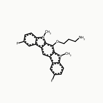 Cn1c2ccc(F)cc2c2cc3c4cc(F)ccc4n(C)c3c(OCCCN)c21